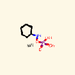 O=P(O)(O)ONC1CCCCC1.[NaH]